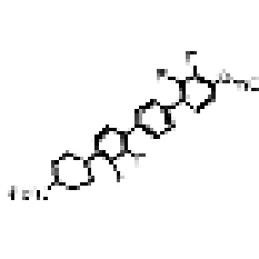 CCCCCCCCOc1ccc(-c2ccc(-c3ccc(C4CCC(CCCCC)CC4)c(F)c3F)cc2)c(F)c1F